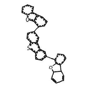 C1=CC2Oc3c(-c4ccc5sc6ccc(-c7cccc8c7oc7ccccc78)cc6c5c4)cccc3C2C=C1